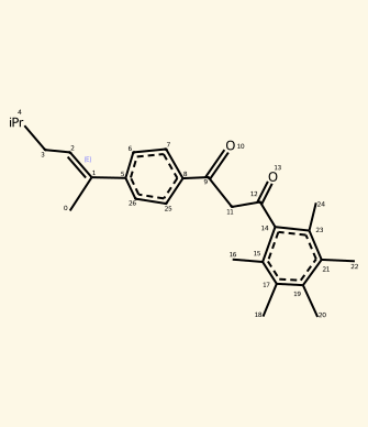 C/C(=C\CC(C)C)c1ccc(C(=O)CC(=O)c2c(C)c(C)c(C)c(C)c2C)cc1